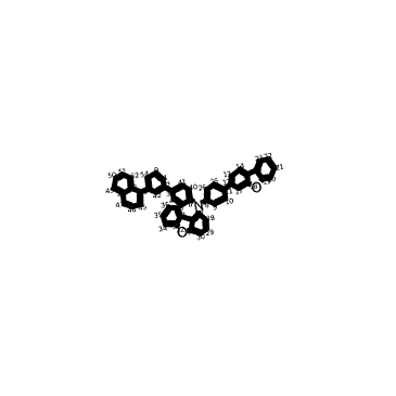 c1cc(-c2ccc(N(c3ccc(-c4ccc5c(c4)oc4ccccc45)cc3)c3cccc4oc5ccccc5c34)cc2)cc(-c2cccc3ccccc23)c1